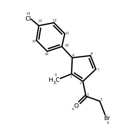 CC1=C(C(=O)CBr)C=CC1c1ccc(Cl)cc1